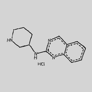 Cl.c1ccc2nc(NC3CCCNC3)ncc2c1